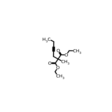 CCC#CCC(C)(C(=O)OCC)C(=O)OCC